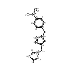 O=[N+]([O-])c1ccc(Cn2cc(Cn3ccnc3)nn2)cc1